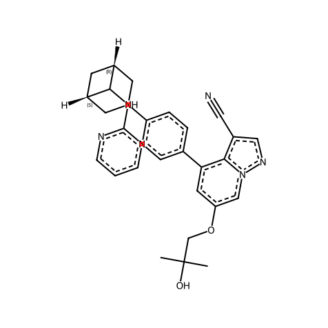 CC(C)(O)COc1cc(-c2ccc(N3C[C@H]4C[C@@H](C3)C4Nc3ncccn3)nc2)c2c(C#N)cnn2c1